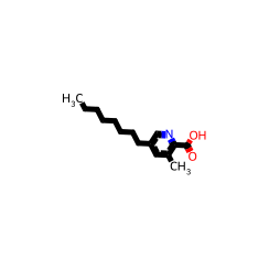 CCCCCCCCc1cnc(C(=O)O)c(C)c1